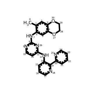 Cc1cc2c(cc1Nc1nccc(Nc3cccnc3-c3ccccn3)n1)OCCO2